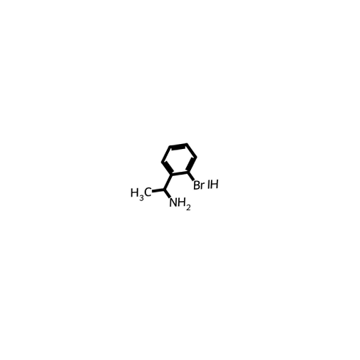 CC(N)c1ccccc1Br.I